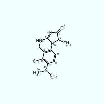 CC1C(=O)N=C2NCc3c(ccc(N(C)C)c3Cl)N21